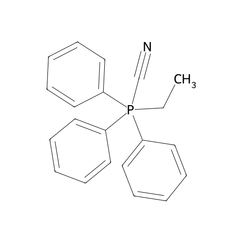 CCP(C#N)(c1ccccc1)(c1ccccc1)c1ccccc1